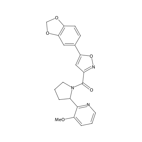 COc1cccnc1C1CCCN1C(=O)c1cc(-c2ccc3c(c2)OCO3)on1